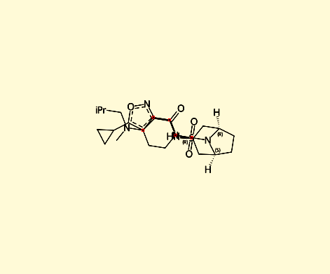 CC(C)CN(C)C1CCN(S(=O)(=O)N2[C@@H]3CC[C@H]2C[C@@H](NC(=O)c2cc(C4CC4)on2)C3)CC1